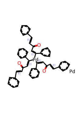 O=C(/C=C/c1ccccc1)/C=[C](\c1ccccc1)[Pd](/[C](=C/C(=O)/C=C/c1ccccc1)c1ccccc1)/[C](=C/C(=O)/C=C/c1ccccc1)c1ccccc1.[Pd]